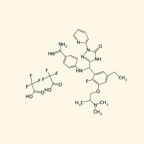 CCc1cc(OCC(C)N(C)C)c(F)c(C(Nc2ccc(C(=N)N)cc2)c2nn(-c3ccccn3)c(=O)[nH]2)c1.O=C(O)C(F)(F)F.O=C(O)C(F)(F)F